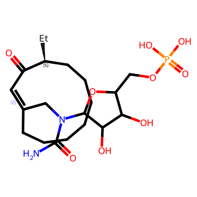 CC[C@H]1CCCCCCC/C(CN(C(N)=O)C2OC(COP(=O)(O)O)C(O)C2O)=C/C1=O